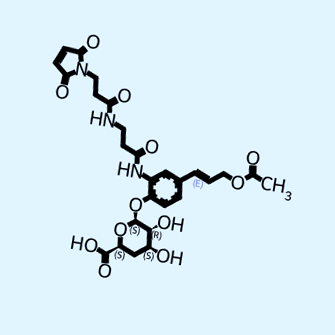 CC(=O)OC/C=C/c1ccc(O[C@@H]2O[C@H](C(=O)O)C[C@H](O)[C@H]2O)c(NC(=O)CCNC(=O)CCN2C(=O)C=CC2=O)c1